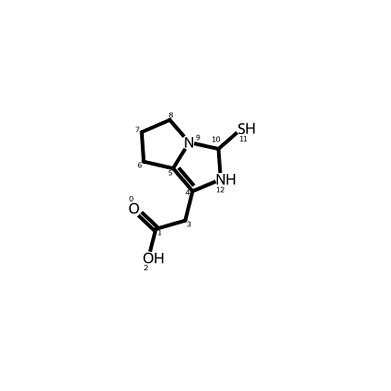 O=C(O)CC1=C2CCCN2C(S)N1